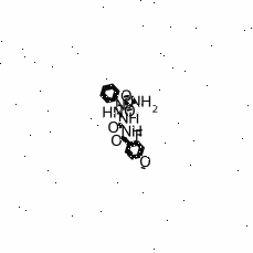 COc1ccc(C(=O)NC(=O)NNN(c2ccccc2)S(N)(=O)=O)c(F)c1